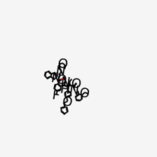 COc1ccccc1CNC(=O)c1c(-c2ccc(OCc3ccccc3)cc2)c(-c2cc(F)ccc2C(=O)N2Cc3ccccc3C[C@H]2CN2CCOCC2)n(C)c1C